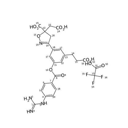 N=C(N)Nc1ccc(C(=O)Oc2cc(CCC(=O)O)cc(C3=NOC(CC(=O)O)(C(=O)O)C3)c2)cc1.O=C(O)C(F)(F)F